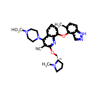 Cc1ccc2[nH]ncc2c1Oc1cccc2c(N3CCN(C(=O)O)CC3)c(C#N)c(OC[C@@H]3CCCN3C)nc12